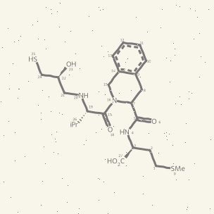 CSCC[C@H](NC(=O)C1Cc2ccccc2CN1C(=O)[C@@H](NC[C@H](O)CS)C(C)C)C(=O)O